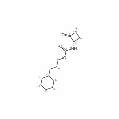 O=C(N[C@H]1CNC1=O)OCCCC1CCCCC1